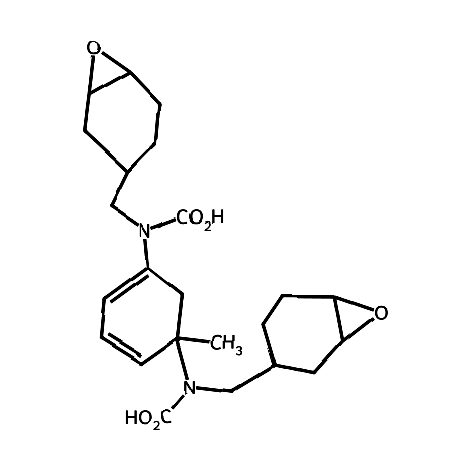 CC1(N(CC2CCC3OC3C2)C(=O)O)C=CC=C(N(CC2CCC3OC3C2)C(=O)O)C1